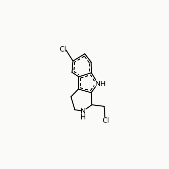 ClCC1NCCc2c1[nH]c1ccc(Cl)cc21